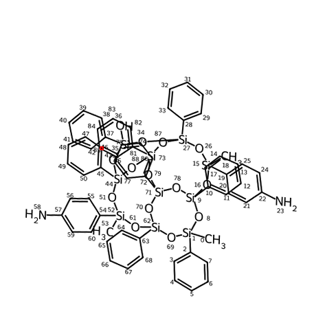 C[Si]1(c2ccccc2)O[Si]2(c3ccccc3)O[Si](C)(c3ccc(N)cc3)O[Si]3(c4ccccc4)O[Si](O)(c4ccccc4)O[Si]4(c5ccccc5)O[Si](C)(c5ccc(N)cc5)O[Si](c5ccccc5)(O1)O[Si](c1ccccc1)(O2)O[Si](c1ccccc1)(O3)O4